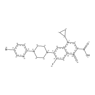 O=C(O)c1cn(C2CC2)c2cc(N3CCN(c4ccc(Br)cn4)CC3)c(F)cc2c1=O